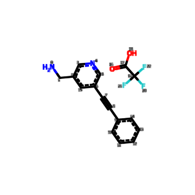 NCc1cncc(C#Cc2ccccc2)c1.O=C(O)C(F)(F)F